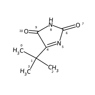 CC(C)(C)C1=NC(=O)NC1=O